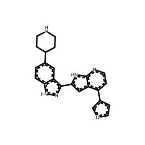 c1cc(-c2ccoc2)c2cc(-c3n[nH]c4ccc(C5CCNCC5)cc34)[nH]c2n1